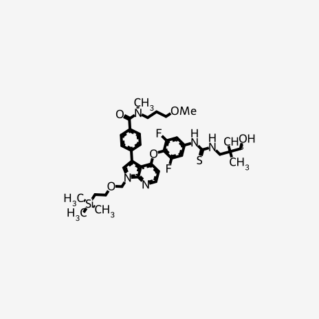 COCCCN(C)C(=O)c1ccc(-c2cn(COCC[Si](C)(C)C)c3nccc(Oc4c(F)cc(NC(=S)NCC(C)(C)CO)cc4F)c23)cc1